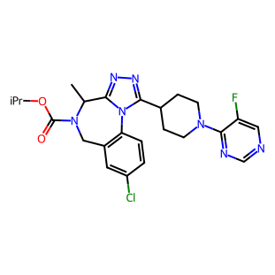 CC(C)OC(=O)N1Cc2cc(Cl)ccc2-n2c(C3CCN(c4ncncc4F)CC3)nnc2C1C